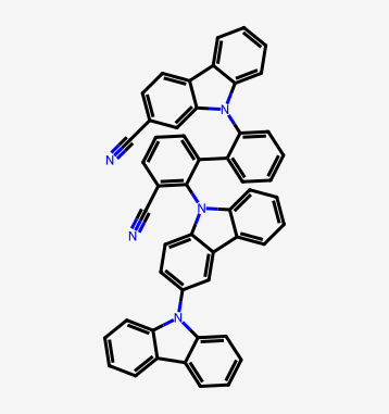 N#Cc1ccc2c3ccccc3n(-c3ccccc3-c3cccc(C#N)c3-n3c4ccccc4c4cc(-n5c6ccccc6c6ccccc65)ccc43)c2c1